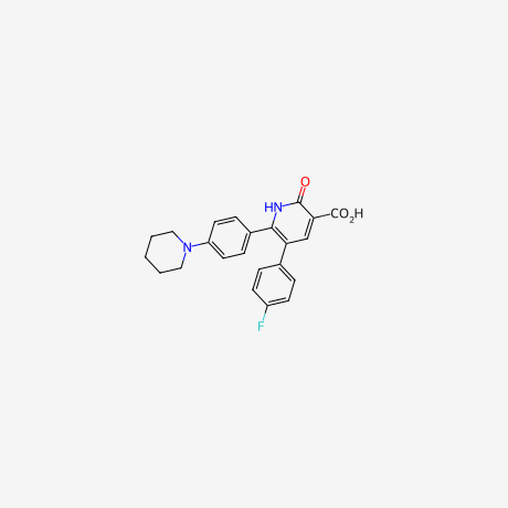 O=C(O)c1cc(-c2ccc(F)cc2)c(-c2ccc(N3CCCCC3)cc2)[nH]c1=O